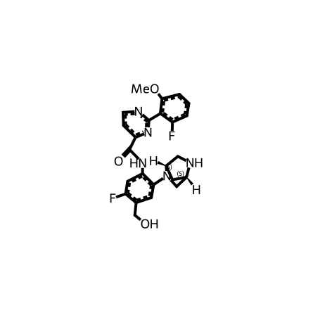 COc1cccc(F)c1-c1nccc(C(=O)Nc2cc(F)c(CO)cc2N2C[C@@H]3C[C@H]2CN3)n1